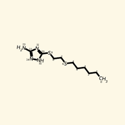 CCCCCCSCCSc1nc(N)n[nH]1